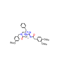 COc1ccc(CN(C[C@@H](Cc2ccccc2)NC(N)=NC(=O)Cc2ccc(OC)c(OC)c2)C(=O)C(F)(F)F)cc1